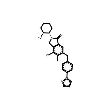 Cc1c(Cc2ccc(-n3cccn3)cc2)cc2c(c1Cl)CN([C@H]1CCCC[C@@H]1O)C2=O